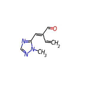 C=C/C(C=O)=C\c1ncnn1C